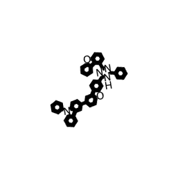 c1ccc(C2N=C(c3cccc4oc5ccccc5c34)N=C(c3ccc4c(c3)oc3ccc(-c5ccc6c(c5)c5ccccc5n6-c5ccccc5)cc34)N2)cc1